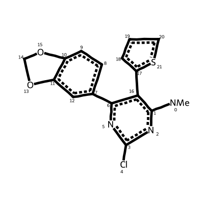 CNc1nc(Cl)nc(-c2ccc3c(c2)OCO3)c1-c1cccs1